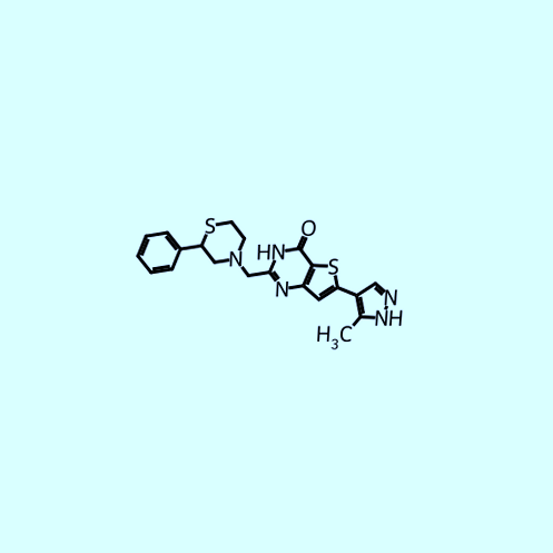 Cc1[nH]ncc1-c1cc2nc(CN3CCSC(c4ccccc4)C3)[nH]c(=O)c2s1